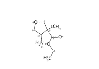 CCOC(=O)C1(C)COCC1N